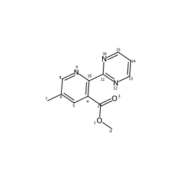 COC(=O)c1cc(C)cnc1-c1ncccn1